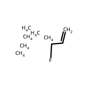 C.C.C.C.C.C.C=CCF